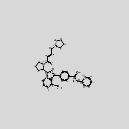 Nc1nccn2c(C3CCCN3C(=O)/C=C/CN3CCCC3)nc(-c3ccc(C(=O)Nc4ccccn4)cc3)c12